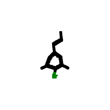 C/C=C/c1cc(C)c(Br)c(C)c1